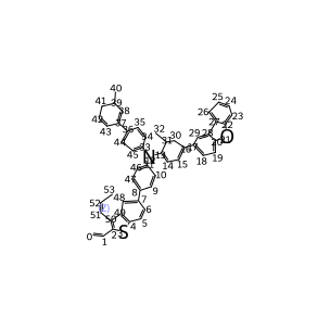 C=Cc1sc2ccc(-c3ccc(N(C4=CC=C(c5ccc6oc7ccccc7c6c5)CC4C)c4ccc(C5=CC(C)CC=C5)cc4)cc3)cc2c1/C=C\C